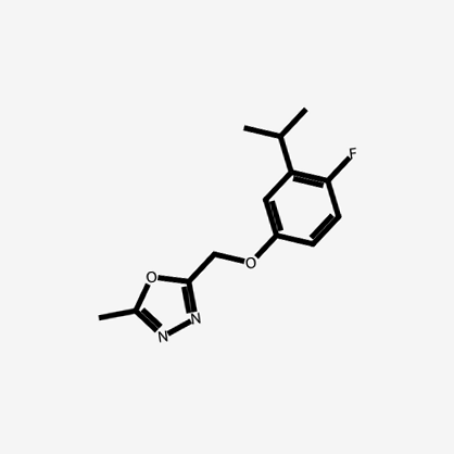 Cc1nnc(COc2ccc(F)c(C(C)C)c2)o1